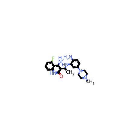 C=C(Nc1cc(N2CCN(C)CC2)ccc1N)c1c(N)c2c(F)cccc2[nH]c1=O